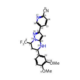 COc1ccc(C2CC(C(F)(F)F)n3nc(-c4ccc(C#N)nc4)cc3N2)cc1OC